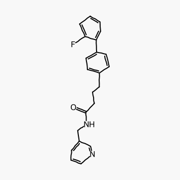 O=C(CCCc1ccc(-c2ccccc2F)cc1)NCc1cccnc1